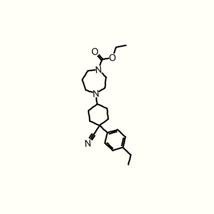 CCOC(=O)N1CCCN(C2CCC(C#N)(c3ccc(CC)cc3)CC2)CC1